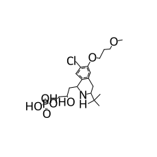 COCCCOc1cc2c(cc1Cl)C(CC(O)COP(=O)(O)O)NC(C(C)(C)C)C2